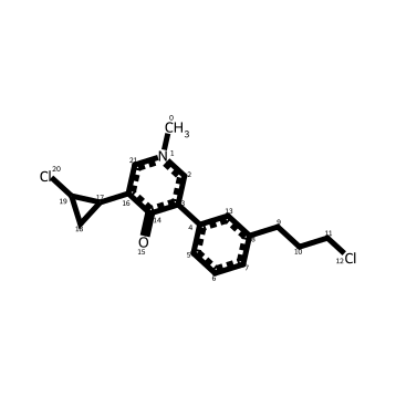 Cn1cc(-c2cccc(CCCCl)c2)c(=O)c(C2CC2Cl)c1